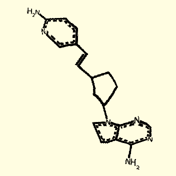 Nc1ccc(/C=C/C2CCC(n3ccc4c(N)ncnc43)C2)cn1